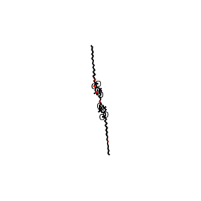 CCCCCCCCCCCCCCCCCC(=O)OC1CC(C)(C)N(OCCCCON2C(C)(C)CC(OC(=O)CCCCCCCCCCCCCCCCC)CC2(C)C)C(C)(C)C1